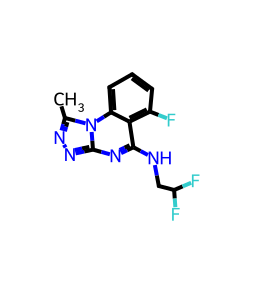 Cc1nnc2nc(NCC(F)F)c3c(F)cccc3n12